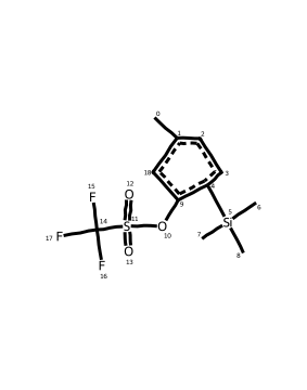 Cc1ccc([Si](C)(C)C)c(OS(=O)(=O)C(F)(F)F)c1